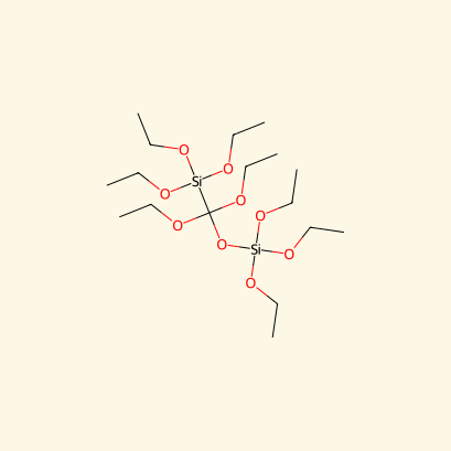 CCOC(OCC)(O[Si](OCC)(OCC)OCC)[Si](OCC)(OCC)OCC